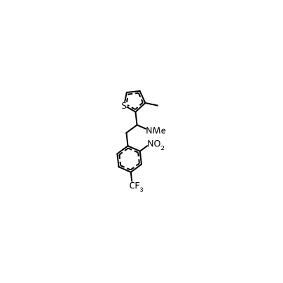 CNC(Cc1ccc(C(F)(F)F)cc1[N+](=O)[O-])c1sccc1C